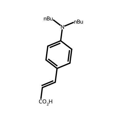 CCCCN(CCCC)c1ccc(C=CC(=O)O)cc1